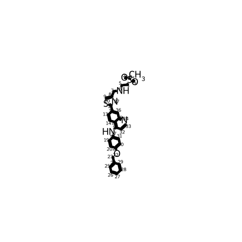 CS(=O)(=O)CCNCc1csc(-c2ccc3c(Nc4ccc(OCc5ccccc5)cc4)ccnc3c2)n1